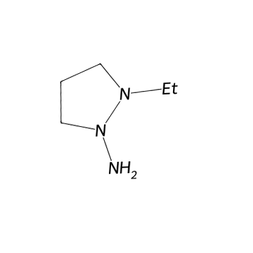 CCN1CCCN1N